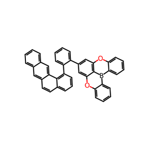 c1ccc2c(c1)Oc1cc(-c3ccccc3-c3cccc4ccc5cc6ccccc6cc5c34)cc3c1B2c1ccccc1O3